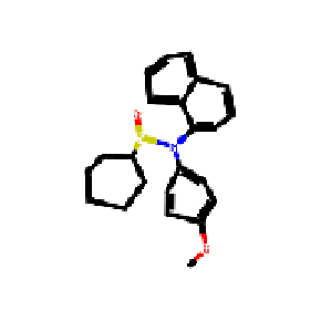 COc1ccc(N(c2cccc3ccccc23)[S+]([O-])C2CCCCC2)cc1